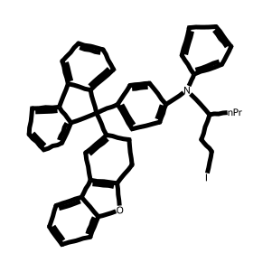 CCCC(CCI)N(c1ccccc1)c1ccc(C2(C3=Cc4c(oc5ccccc45)CC3)c3ccccc3-c3ccccc32)cc1